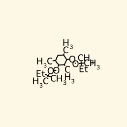 CCC(C)(C)OOC1C(C)CC(C)C(OOC(C)(C)CC)C1C